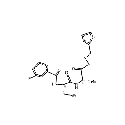 CCCC[C@H](NC(=O)[C@H](CC(C)C)NC(=O)c1cccc(F)c1)C(=O)CSCc1ccco1